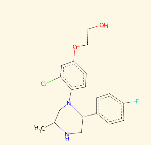 CC1CN(c2ccc(OCCO)cc2Cl)[C@H](c2ccc(F)cc2)CN1